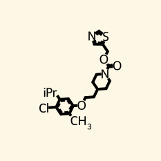 Cc1cc(Cl)c(C(C)C)cc1OCCC1CCN(C(=O)OCc2cncs2)CC1